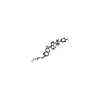 Cc1ccc(S(=O)(=O)n2ccc3c(NN4CCC5(CCC(CCOC=O)CC5)CC4)ncnc32)cc1